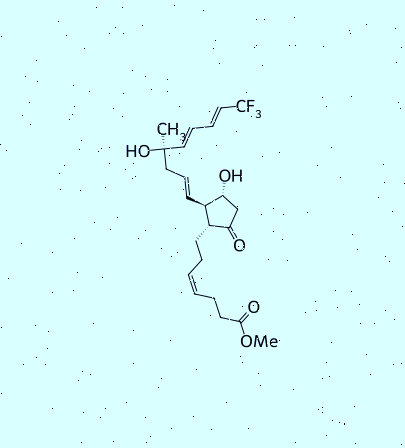 COC(=O)CC/C=C\CC[C@H]1C(=O)C[C@@H](O)[C@@H]1/C=C/C[C@@](C)(O)/C=C/C=C/C(F)(F)F